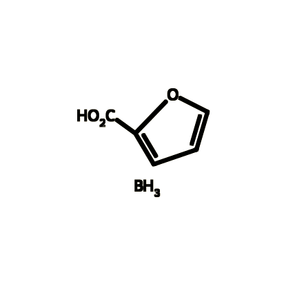 B.O=C(O)c1ccco1